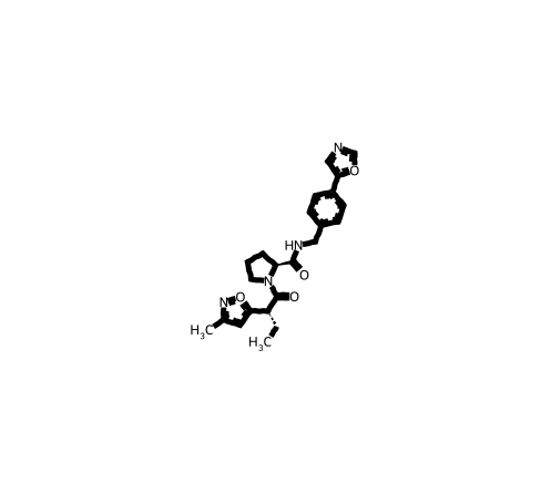 CC[C@@H](C(=O)N1CCC[C@H]1C(=O)NCc1ccc(-c2cnco2)cc1)c1cc(C)no1